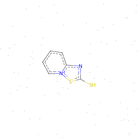 Sc1nc2cccc[n+]2s1